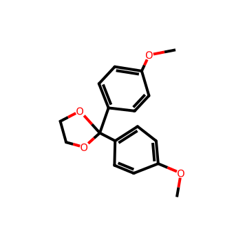 COc1ccc(C2(c3ccc(OC)cc3)OCCO2)cc1